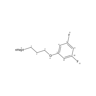 CCCCCCCCCCOc1cc(F)cc(F)c1